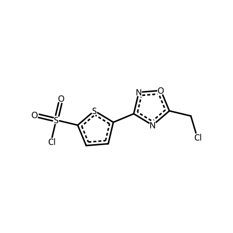 O=S(=O)(Cl)c1ccc(-c2noc(CCl)n2)s1